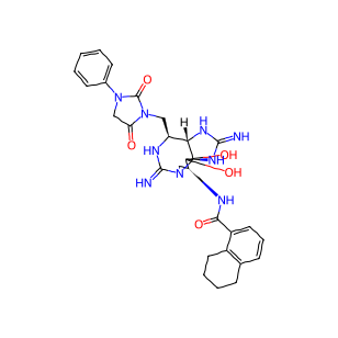 N=C1N[C@H]2[C@H](CN3C(=O)CN(c4ccccc4)C3=O)NC(=N)N3C[C@H](NC(=O)c4cccc5c4CCCC5)C(O)(O)[C@]23N1